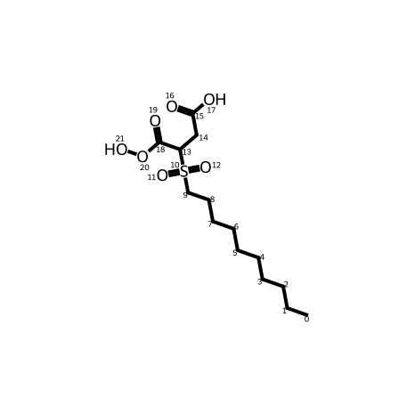 CCCCCCCCCCS(=O)(=O)C(CC(=O)O)C(=O)OO